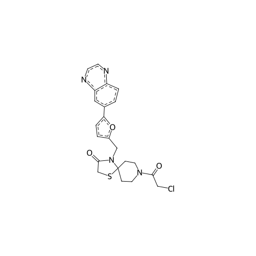 O=C(CCl)N1CCC2(CC1)SCC(=O)N2Cc1ccc(-c2ccc3nccnc3c2)o1